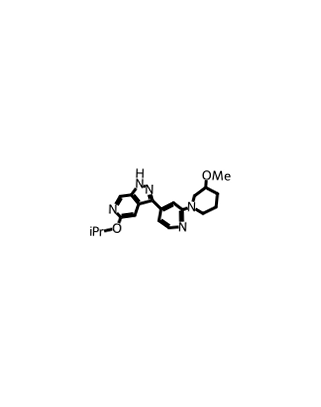 COC1CCCN(c2cc(-c3n[nH]c4cnc(OC(C)C)cc34)ccn2)C1